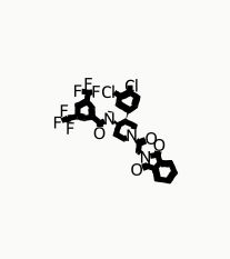 CN(C(=O)c1cc(C(F)(F)F)cc(C(F)(F)F)c1)[C@@H]1CCN(C(=O)CN2C(=O)c3ccccc3C2=O)C[C@H]1c1ccc(Cl)c(Cl)c1